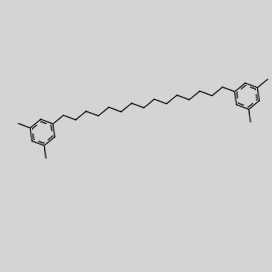 Cc1cc(C)cc(CCCCCCCCCCCCCCCc2cc(C)cc(C)c2)c1